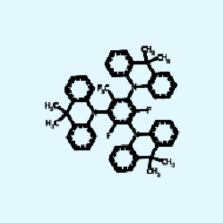 CC1(C)c2ccccc2N(c2c(F)c(N3c4ccccc4C(C)(C)c4ccccc43)c(C(F)(F)F)c(N3c4ccccc4C(C)(C)c4ccccc43)c2F)c2ccccc21